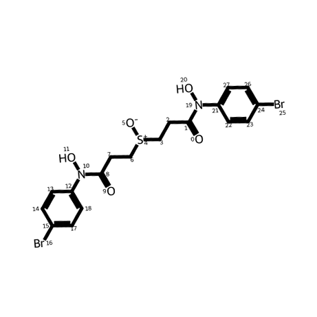 O=C(CC[S+]([O-])CCC(=O)N(O)c1ccc(Br)cc1)N(O)c1ccc(Br)cc1